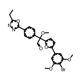 CCc1nnc(-c2ccc(C(C=O)(OC)c3ccc(-c4cc(OC)c(Br)c(OC)c4)o3)cc2)o1